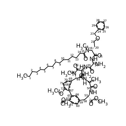 CCCCCCCCCCCCCCCC(=O)N(C)[C@H](CCOCc1ccccc1)C(=O)N[C@H](N)C(=O)N[C@@H](N)C(=O)N(C)[C@@H]1C(=O)N[C@@H](C)C(=O)N[C@H](C(=O)OC)Cc2ccc(OC)c(c2)-c2cc1ccc2OC